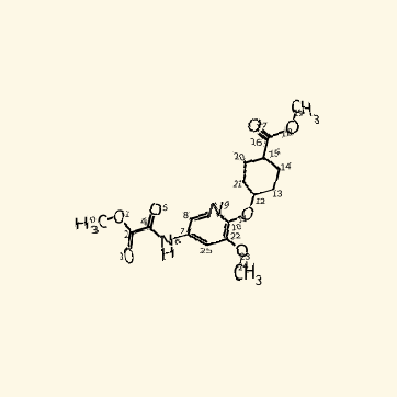 COC(=O)C(=O)Nc1cnc(OC2CCC(C(=O)OC)CC2)c(OC)c1